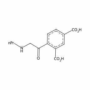 CCCNCC(=O)c1ccc(C(=O)O)cc1C(=O)O